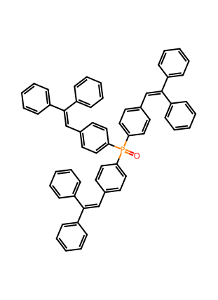 O=P(c1ccc(C=C(c2ccccc2)c2ccccc2)cc1)(c1ccc(C=C(c2ccccc2)c2ccccc2)cc1)c1ccc(C=C(c2ccccc2)c2ccccc2)cc1